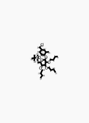 CCCCOC1C(OCCCC)[C@H](OCCCC)C(C)O[C@H]1OC1C(C)CC(CCl)C[C@H]1O[Si](C)(C)C(C)(C)C